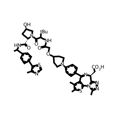 Cc1ncsc1-c1ccc(C(C)NC(=O)[C@@H]2C[C@@H](O)CN2C(=O)C(NC(=O)COC2CCN(c3ccc(C4=N[C@@H](CC(=O)O)c5nnc(C)n5-c5sc(C)c(C)c54)cc3)CC2)C(C)(C)C)cc1